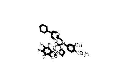 O=C(O)c1ccc(N(Cc2ncc(C3CCCCC3)cn2)C(=O)[C@H]2CCN2S(=O)(=O)c2c(F)c(F)c(F)c(F)c2F)cc1O